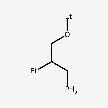 CCOCC(CC)CP